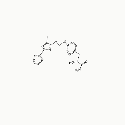 Cc1oc(-c2ccccc2)nc1CCOc1ccc(CC(O)C(N)=O)cc1